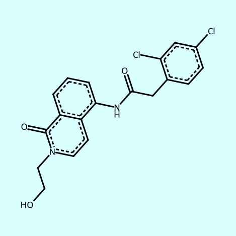 O=C(Cc1ccc(Cl)cc1Cl)Nc1cccc2c(=O)n(CCO)ccc12